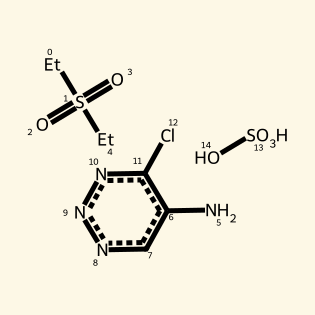 CCS(=O)(=O)CC.Nc1cnnnc1Cl.O=S(=O)(O)O